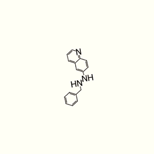 c1ccc(CNNc2ccc3ncccc3c2)cc1